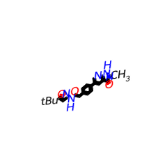 Cn1[nH]c2ncc(-c3ccc(CC(=O)Nc4cc(C(C)(C)C)on4)cc3)cc2c1=O